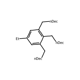 [CH2]Cc1cc(CCCCCCCCCCC)c(CCCCCCCCCCC)c(CCCCCCCCCCC)c1